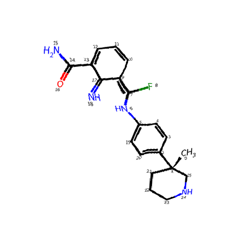 C[C@]1(c2ccc(N/C(F)=C3/C=CC=C(C(N)=O)C3=N)cc2)CCCNC1